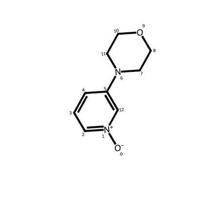 [O-][n+]1cccc(N2CCOCC2)c1